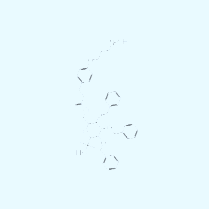 CC(C)(O)C1OC(COC(=O)CCc2ccc(OCCCNS)cc2)C(OCc2ccccc2)C(OCc2ccccc2)C1OCc1ccccc1